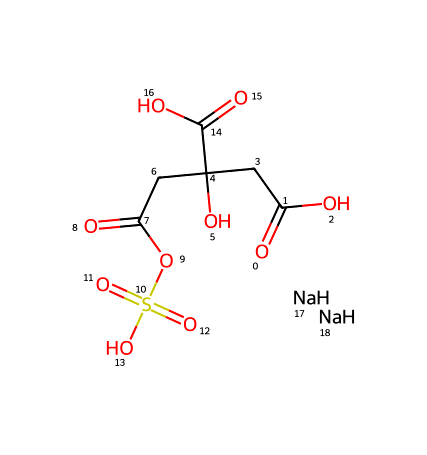 O=C(O)CC(O)(CC(=O)OS(=O)(=O)O)C(=O)O.[NaH].[NaH]